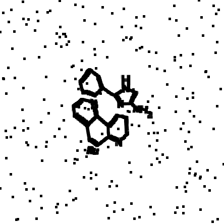 Nc1c[nH]c(-c2ccccc2)n1.[Ru].c1cnc2c(c1)ccc1ncccc12